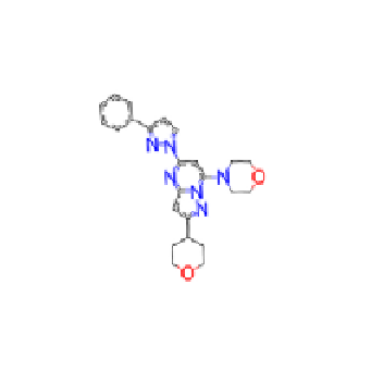 c1ccc(-c2ccn(-c3cc(N4CCOCC4)n4nc(C5CCOCC5)cc4n3)n2)cc1